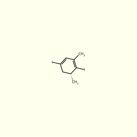 CC1=C(I)[C@H](C)CC(I)=C1